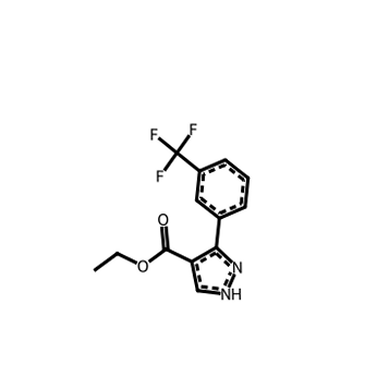 CCOC(=O)c1c[nH]nc1-c1cccc(C(F)(F)F)c1